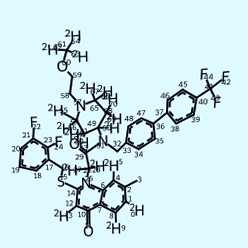 [2H]c1c(C)c([2H])c2c(c1[2H])c(=O)c([2H])c(SCc1cccc(F)c1F)n2C([2H])([2H])C(=O)N(Cc1ccc(-c2ccc(C(F)(F)F)cc2)cc1)C1([2H])C([2H])([2H])C([2H])([2H])N(CCOC([2H])([2H])[2H])C([2H])([2H])C1([2H])[2H]